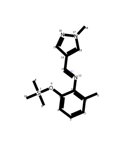 Cc1cccc(O[Si](C)(C)C)c1/N=C/c1cnn(C)c1